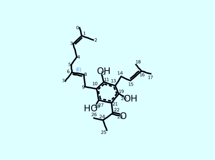 CC(C)=CCC/C(C)=C/Cc1c(O)c(CC=C(C)C)c(O)c(C(=O)C(C)C)c1O